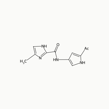 CC(=O)c1cc(NC(=O)c2nc(C)c[nH]2)c[nH]1